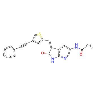 CC(=O)Nc1cnc2c(c1)C(=Cc1cc(C#Cc3ccccc3)cs1)C(=O)N2